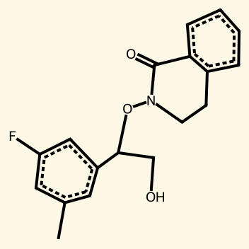 Cc1cc(F)cc(C(CO)ON2CCc3ccccc3C2=O)c1